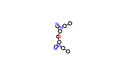 c1ccc(-c2ccc(-n3c4ccc(-c5ccc(-c6ccc7c(c6)c6ccncc6n7-c6ccc(-c7ccccc7)cc6)o5)cc4c4ccncc43)cc2)cc1